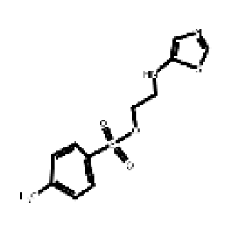 Cc1ccc(S(=O)(=O)OCCNc2cn[c]s2)cc1